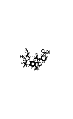 COCC(O)CN1C(=O)C(C)(C)Oc2cc(C(F)(F)F)c(C(=O)N(C(C)C)[C@@H]3CCCN(C(=O)O)C3)cc21